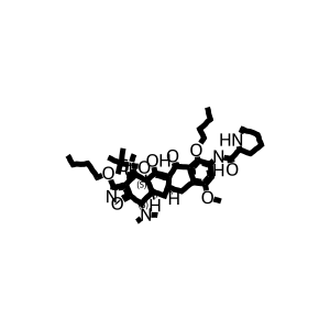 CCCCOc1noc2c1C(=O)[C@@]1(O[Si](C)(C)C(C)(C)C)C(O)=C3C(=O)c4c(c(OC)cc(NC(=O)C5CCCCN5)c4OCCCC)C[C@H]3C[C@H]1[C@@H]2N(C)C